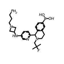 CC(C)(F)CN1CCc2cc(B(O)O)ccc2C1c1ccc(NC2CN(CCCP)C2)cn1